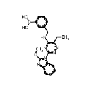 CCc1nnc(-n2c(OC)nc3ccccc32)nc1NCc1cccc(B(O)O)c1